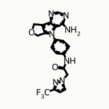 Nc1ncnc2c3c(n(-c4ccc(NC(=O)Cn5ccc(C(F)(F)F)n5)cc4)c12)COC3